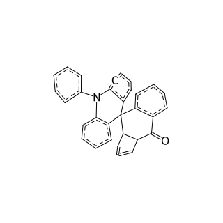 O=C1c2ccccc2C2(c3ccccc3N(c3ccccc3)c3ccccc32)C2C=CC=CC12